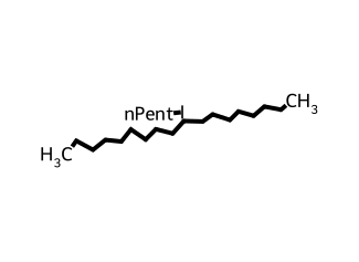 CCCCCCCCCCCCCCCCCC.CCCCCI